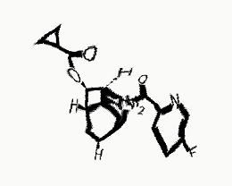 NC12C[C@H]3C[C@@H]1[C@@H](OC(=O)C1CC1)[C@H]2N(C(=O)c1ccc(F)cn1)C3